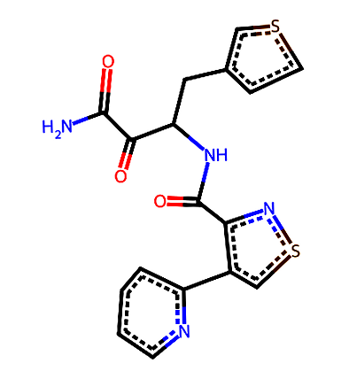 NC(=O)C(=O)C(Cc1ccsc1)NC(=O)c1nscc1-c1ccccn1